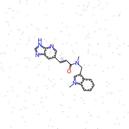 CN(Cc1cn(C)c2ccccc12)C(=O)/C=C/c1cnc2[nH]cnc2c1